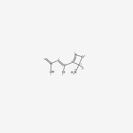 C=C(O)/C=C(\CC)C1=NOC1(C)N